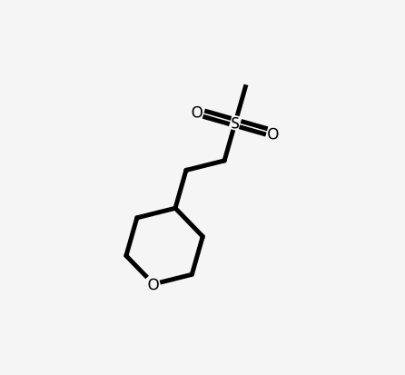 CS(=O)(=O)CCC1CCOCC1